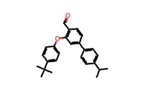 CC(C)c1ccc(-c2ccc(C=O)c(Oc3ccc(C(C)(C)C)cc3)c2)cc1